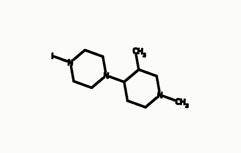 CC1CN(C)CCC1N1CCN(I)CC1